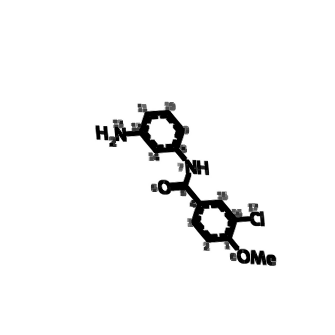 COc1ccc(C(=O)Nc2cccc(N)c2)cc1Cl